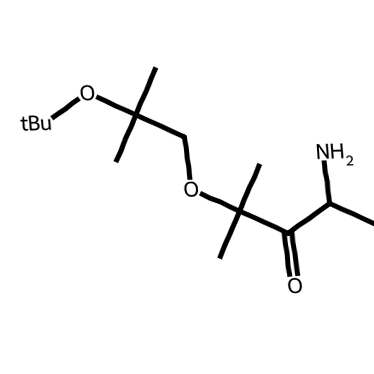 CC(N)C(=O)C(C)(C)OCC(C)(C)OC(C)(C)C